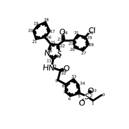 CCS(=O)(=O)c1ccc(CC(=O)Nc2nc(-c3ccccc3)c(C(=O)c3cccc(Cl)c3)s2)cc1